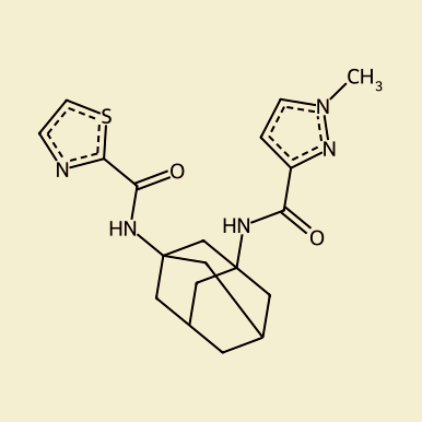 Cn1ccc(C(=O)NC23CC4CC(C2)CC(NC(=O)c2nccs2)(C4)C3)n1